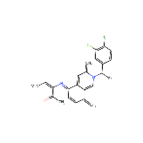 B=C(C)C(=C\NC)/N=C(\C=C/C=C)C1=CC(=C)N(C(CC)c2ccc(Cl)c(F)c2)C=C1